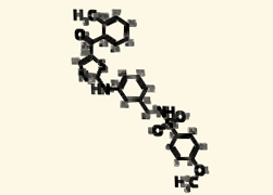 COc1ccc(S(=O)(=O)NCc2cccc(Nc3ncc(C(=O)c4ccccc4C)s3)c2)cc1